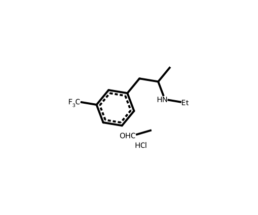 CC=O.CCNC(C)Cc1cccc(C(F)(F)F)c1.Cl